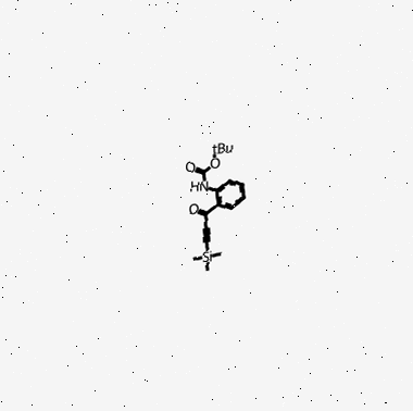 CC(C)(C)OC(=O)Nc1ccccc1C(=O)C#C[Si](C)(C)C